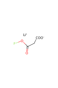 O=C([O-])CC(=O)OF.[Li+]